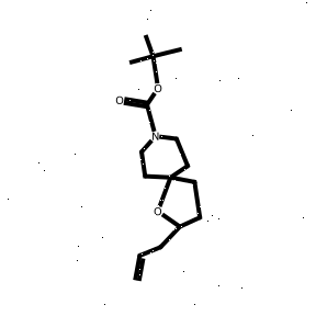 C=CCC1CCC2(CCN(C(=O)OC(C)(C)C)CC2)O1